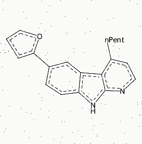 CCCCCc1ccnc2[nH]c3ccc(-c4ccco4)cc3c12